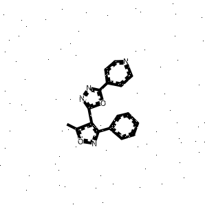 Cc1onc(-c2ccccc2)c1-c1nnc(-c2ccncc2)o1